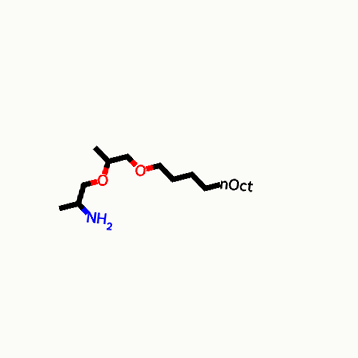 CCCCCCCCCCCCOCC(C)OCC(C)N